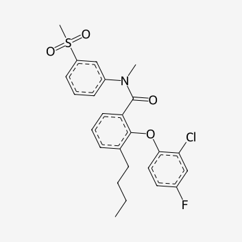 CCCCc1cccc(C(=O)N(C)c2cccc(S(C)(=O)=O)c2)c1Oc1ccc(F)cc1Cl